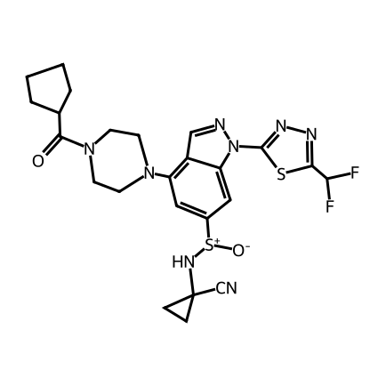 N#CC1(N[S+]([O-])c2cc(N3CCN(C(=O)C4CCCC4)CC3)c3cnn(-c4nnc(C(F)F)s4)c3c2)CC1